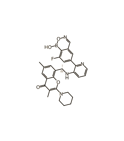 Cc1cc([C@H](C)Nc2cccnc2-c2cc(F)c3c(c2)C=NOB3O)c2oc(N3CCCCC3)c(C)c(=O)c2c1